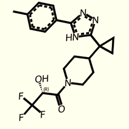 Cc1ccc(-c2nnc(C3(C4CCN(C(=O)[C@@H](O)C(F)(F)F)CC4)CC3)[nH]2)cc1